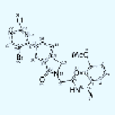 COc1cccc([C@@H](C)NC(=O)CN2Cc3ccc(-c4nc(Cl)ncc4Br)cc3C2=O)c1